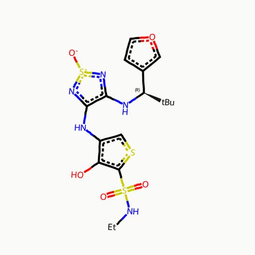 CCNS(=O)(=O)c1scc(Nc2n[s+]([O-])nc2N[C@@H](c2ccoc2)C(C)(C)C)c1O